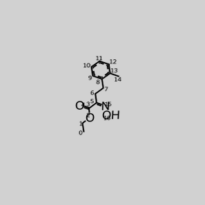 CCOC(=O)C(CCc1ccccc1C)=NO